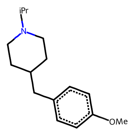 COc1ccc(CC2CCN(C(C)C)CC2)cc1